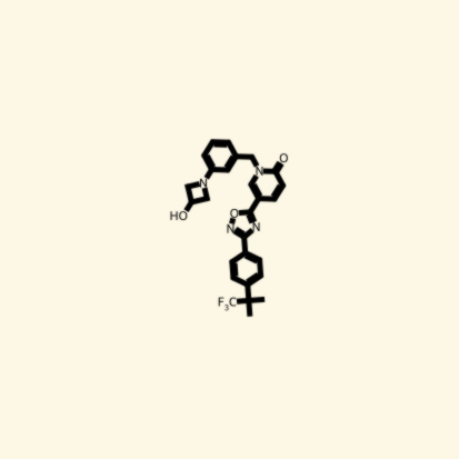 CC(C)(c1ccc(-c2noc(-c3ccc(=O)n(Cc4cccc(N5CC(O)C5)c4)c3)n2)cc1)C(F)(F)F